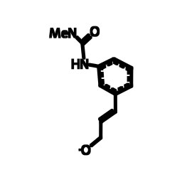 CNC(=O)Nc1cccc(C=CC[O])c1